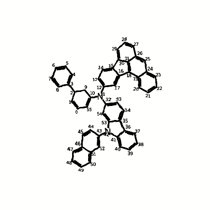 C1=CC(c2ccccc2)CC(N(c2ccc3c(c2)-c2c4ccccc4cc4cccc-3c24)c2ccc3c4ccccc4n(-c4ccc5ccccc5c4)c3c2)=C1